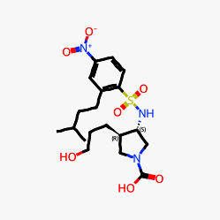 CC(C)CCc1cc([N+](=O)[O-])ccc1S(=O)(=O)N[C@@H]1CN(C(=O)O)C[C@H]1CCCO